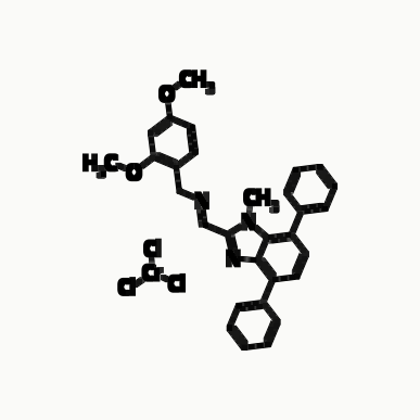 COc1ccc(C/N=C/c2nc3c(-c4ccccc4)ccc(-c4ccccc4)c3n2C)c(OC)c1.[Cl][Cr]([Cl])[Cl]